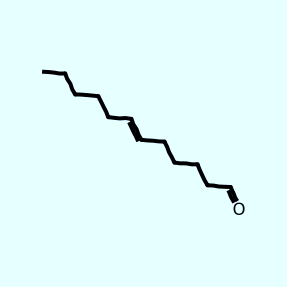 CCCCC/C=C/CCCCC=O